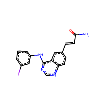 NC(=O)C=Cc1ccc2ncnc(Nc3cccc(I)c3)c2c1